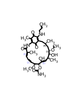 C=CCNC1=C2C[C@@H](C)C[C@H](OC)[C@H](O)[C@@H](C)/C=C(\C)[C@H](OC(N)=O)[C@@H](OC)/C=C\C=C(/C)C(=O)NC(=C(C)C1=O)C2=O